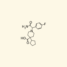 NC(=O)C(c1ccc(F)cc1)N1CCC(C(=O)O)(C2CCCC2)CC1